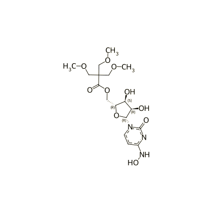 COCC(COC)(COC)C(=O)OC[C@H]1O[C@@H](n2ccc(NO)nc2=O)[C@H](O)[C@@H]1O